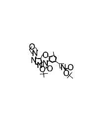 Cc1cc(C2CN(C(=O)OC(C)(C)C)C2)cc2c1OCc1c(N3CCOCC3)ncnc1N2C(=O)OC(C)(C)C